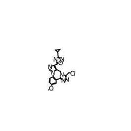 COc1ccc2c(c1)-c1nnc(CCl)n1Cc1c(-c3nc(C4CC4)no3)ncn1-2